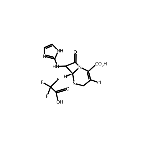 O=C(O)C(F)(F)F.O=C(O)C1=C(Cl)CS[C@@H]2C(Nc3ncc[nH]3)C(=O)N12